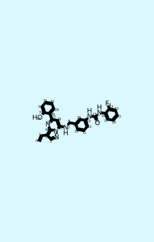 C=Cc1cnn2c(NCc3cccc(NC(=O)Nc4ccccc4F)c3)cc(-c3ccccc3O)nc12